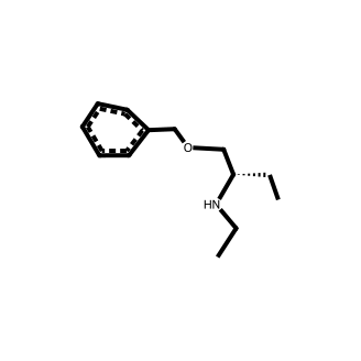 CCN[C@@H](CC)COCc1ccccc1